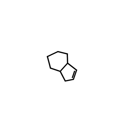 C1=CC2CCCCC2C1